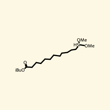 CO[SiH](CCCCCCCCCCCC(=O)OCC(C)C)OC